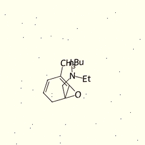 CCCCN(CC)CC12CC=CC(C)=C1O2